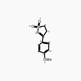 COc1ccc(C2=NS(=O)(=O)CC2)cc1